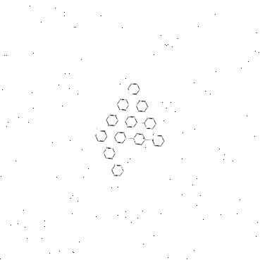 c1ccc(-c2ccc(-c3ccnc(-c4ccc(-c5ccccc5-c5cc(-c6ccccc6-c6ccc(-c7ccccn7)cc6)cc(-c6ccccc6-c6ccc(-c7ccccn7)cc6)c5)cc4)c3)cc2)cc1